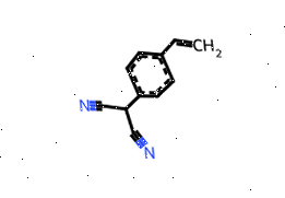 C=Cc1ccc(C(C#N)C#N)cc1